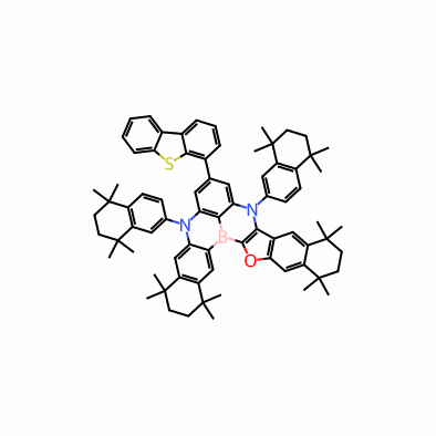 CC1(C)CCC(C)(C)c2cc(N3c4cc5c(cc4B4c6oc7cc8c(cc7c6N(c6ccc7c(c6)C(C)(C)CCC7(C)C)c6cc(-c7cccc9c7sc7ccccc79)cc3c64)C(C)(C)CCC8(C)C)C(C)(C)CCC5(C)C)ccc21